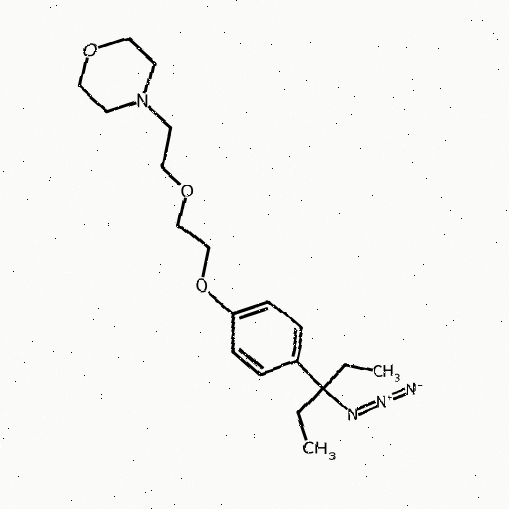 CCC(CC)(N=[N+]=[N-])c1ccc(OCCOCCN2CCOCC2)cc1